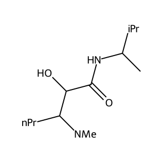 CCCC(NC)C(O)C(=O)NC(C)C(C)C